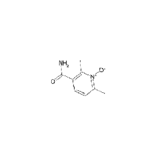 Cc1ccc(C(N)=O)c(C)[n+]1[O-]